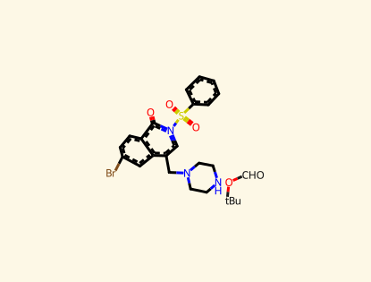 CC(C)(C)OC=O.O=c1c2ccc(Br)cc2c(CN2CCNCC2)cn1S(=O)(=O)c1ccccc1